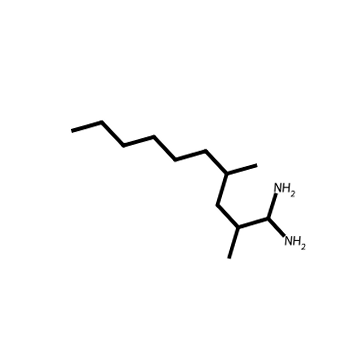 CCCCCCC(C)CC(C)C(N)N